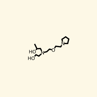 CC(O)CN(CCO)CCOCCN1CCCC1